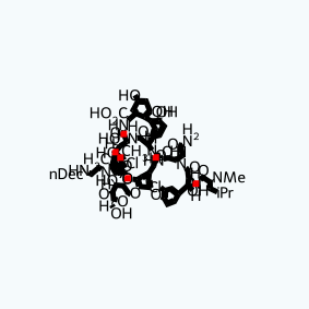 CCCCCCCCCCNCCN[C@@]1(C)C[C@H](O[C@H]2[C@H](Oc3c4cc5cc3Oc3ccc(cc3Cl)[C@@H](O)[C@@H](NC(=O)[C@@H](CC(C)C)NC)C(=O)N[C@@H](CC(N)=O)C(=O)N[C@H]5C(=O)N[C@H]3C(=O)N[C@H](C(=O)N[C@H](C(=O)O)c5cc(O)cc(O)c5-c5cc3ccc5O)[C@H](O)c3ccc(c(Cl)c3)O4)O[C@H](CO)[C@@H](O)[C@@H]2O)O[C@@H](C)[C@H]1O